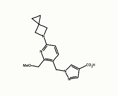 COCc1nc(N2CC3(CC3)C2)ccc1Cn1cc(C(=O)O)cn1